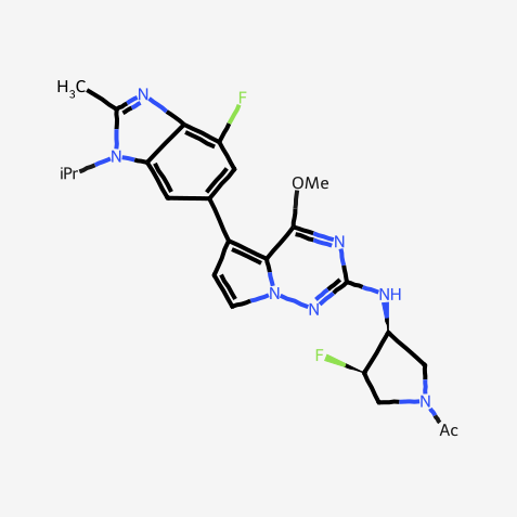 COc1nc(N[C@H]2CN(C(C)=O)C[C@H]2F)nn2ccc(-c3cc(F)c4nc(C)n(C(C)C)c4c3)c12